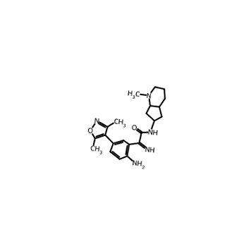 Cc1noc(C)c1-c1ccc(N)c(C(=N)C(=O)NC2CC3CCCN(C)C3C2)c1